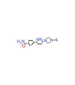 NC(=O)c1ccc(-c2ccc(N3CCN(C4CC4)CC3)nn2)cc1